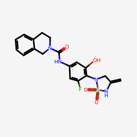 C=C1CN(c2c(O)cc(NC(=O)N3CCc4ccccc4C3)cc2F)S(=O)(=O)N1